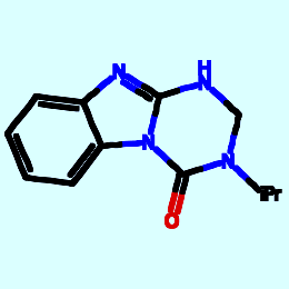 CC(C)N1CNc2nc3ccccc3n2C1=O